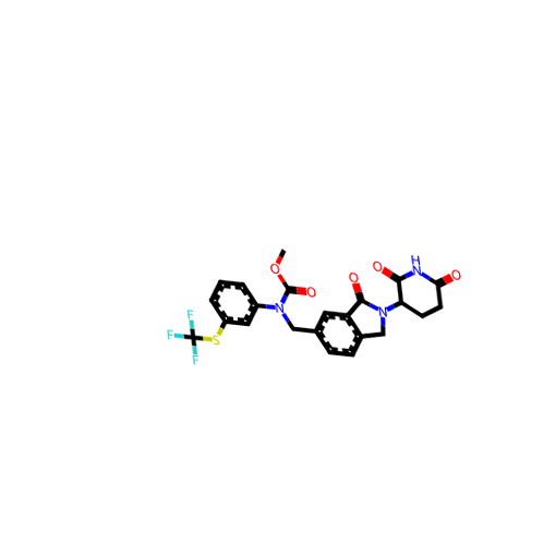 COC(=O)N(Cc1ccc2c(c1)C(=O)N(C1CCC(=O)NC1=O)C2)c1cccc(SC(F)(F)F)c1